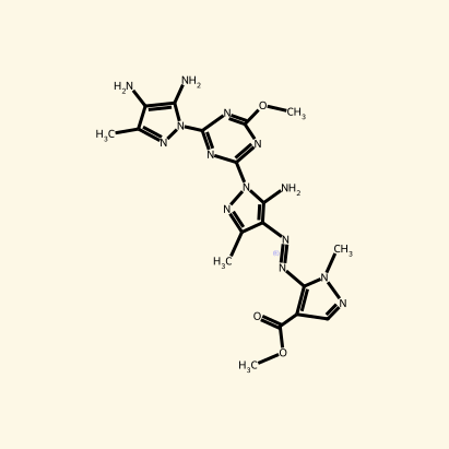 COC(=O)c1cnn(C)c1/N=N/c1c(C)nn(-c2nc(OC)nc(-n3nc(C)c(N)c3N)n2)c1N